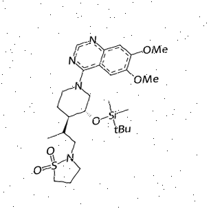 COc1cc2ncnc(N3CC[C@H](C(C)CN4CCCS4(=O)=O)[C@@H](O[Si](C)(C)C(C)(C)C)C3)c2cc1OC